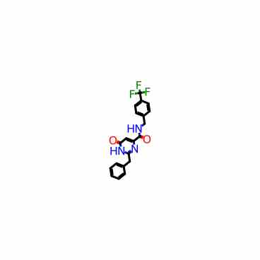 O=C(NCc1ccc(C(F)(F)F)cc1)c1cc(=O)[nH]c(Cc2ccccc2)n1